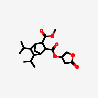 COC(=O)C1C2CC(C1C(=O)OC1COC(=O)C1)C(C(C)C)C2C(C)C